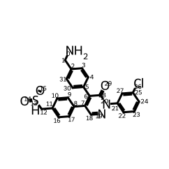 NCc1ccc(-c2c(-c3ccc(C[SH](=O)=O)cc3)cnn(-c3cccc(Cl)c3)c2=O)cc1